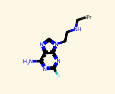 CC(C)CNCCn1cnc2c(N)nc(F)nc21